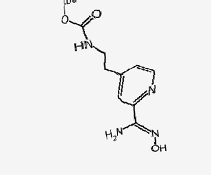 CC(C)(C)OC(=O)NCCc1ccnc(/C(N)=N/O)c1